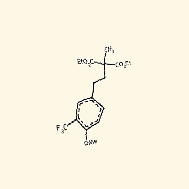 CCOC(=O)C(C)(CCc1ccc(OC)c(C(F)(F)F)c1)C(=O)OCC